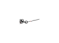 CCCCCCCCCCCCCCCCCCOC(C)c1ccc(C(=O)Oc2ccccc2OCCC)cc1